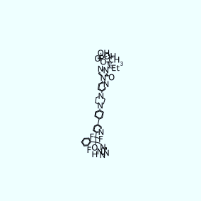 CC[C@@H]([C@H](C)OP(=O)(O)O)n1ncn(-c2ccc(N3CCN(c4ccc(-c5ccc(C(F)(F)C(O)(Cn6cnnn6)c6ccccc6F)nc5)cc4)CC3)cn2)c1=O